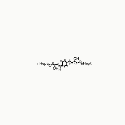 CCCCCCCOCC(O)CNc1ccc(NCC(O)COCCCCCCC)cc1